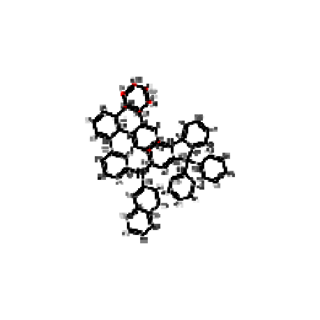 c1ccc(-c2ccccc2-c2c(-c3ccccc3)cccc2-c2cccc(N(c3ccc4c(c3)C(c3ccccc3)(c3ccccc3)c3ccccc3-4)c3ccc4ccccc4c3)c2)cc1